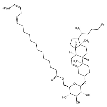 CCCCC/C=C\C/C=C\CCCCCCCCCCCC(=O)OC[C@H]1O[C@@H](O[C@H]2CC[C@@]3(C)C(=CC[C@H]4[C@@H]5CC[C@H]([C@H](C)CCCC(C)C)[C@@]5(C)CC[C@@H]43)C2)[C@H](O)[C@@H](O)[C@@H]1O